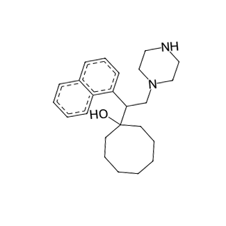 OC1(C(CN2CCNCC2)c2cccc3ccccc23)CCCCCCC1